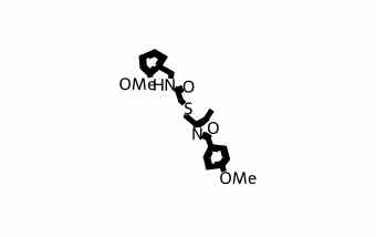 COc1ccc(-c2nc(CSCC(=O)NCc3ccccc3OC)c(C)o2)cc1